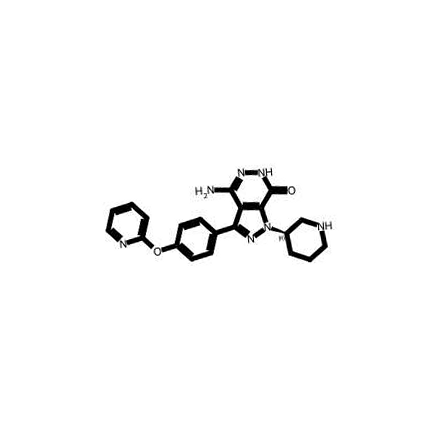 Nc1n[nH]c(=O)c2c1c(-c1ccc(Oc3ccccn3)cc1)nn2[C@@H]1CCCNC1